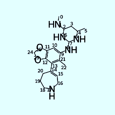 CNC1CC(C)NC(Nc2cc3c(c(C4=CCNCCC4)c2C)OCO3)N1